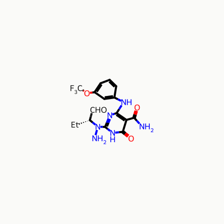 CC[C@H](C=O)N(N)c1nc(Nc2cccc(OC(F)(F)F)c2)c(C(N)=O)c(=O)[nH]1